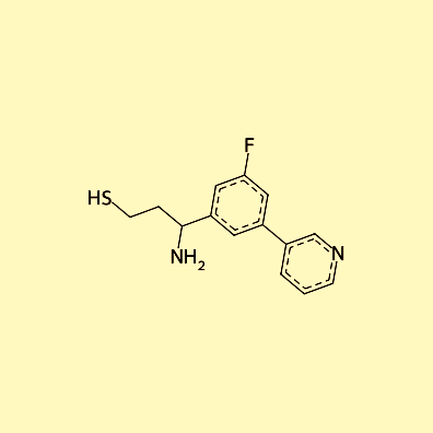 NC(CCS)c1cc(F)cc(-c2cccnc2)c1